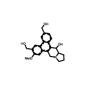 COc1cc2c3c(c4ccc(CO)cc4c2cc1CO)C(O)C1CCCN1C3